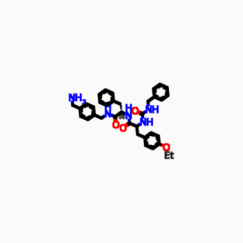 CCOc1ccc(CC(NC(=O)NCc2ccccc2)C(=O)N[C@@H](Cc2ccccc2)C(=O)NCc2ccc(CN)cc2)cc1